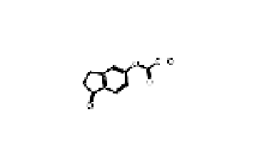 O=CC(=O)Oc1ccc2c(c1)CCC2=O